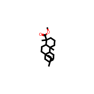 COC(=O)C1(C)CCCC2(C)C3CC4CCC3(C=C4C)CCC12